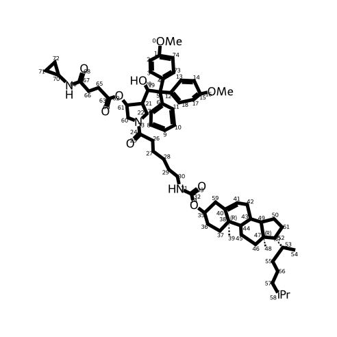 COc1ccc(C(c2ccccc2)(c2ccc(OC)cc2)C(O)C2CN(C(=O)CCCCCNC(=O)OC3CC[C@@]4(C)C(=CCC5C4CC[C@@]4(C)C5CC[C@@H]4C(C)CCCC(C)C)C3)CC2OC(=O)CCC(=O)NC2CC2)cc1